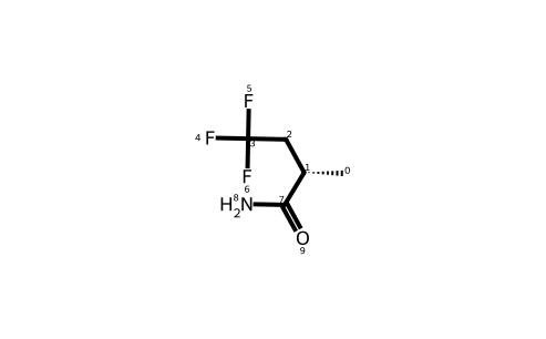 C[C@@H](CC(F)(F)F)C(N)=O